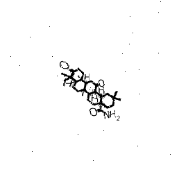 CC1(C)CC[C@]2(C(N)=O)CC[C@]3(C)[C@H](C(=O)C[C@@H]4[C@@]5(C)CCC(=O)C(C)(C)[C@@H]5CC[C@]43C)[C@@H]2C1